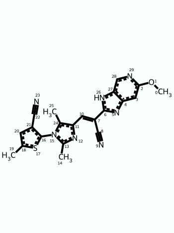 COc1cc2nc(/C(C#N)=C/c3nc(C)n(-c4sc(C)cc4C#N)c3C)[nH]c2cn1